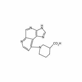 O=C(O)C1CCCN(c2ccnc3cnc4[nH]cnc4c23)C1